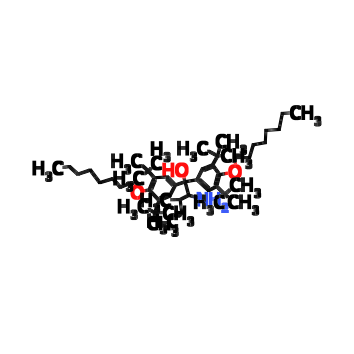 CCCCCCCCOc1c(C(C)(C)C)cc(C(O)(c2cc(C(C)(C)C)c(OCCCCCCCC)c(C(C)(C)C)c2)C(N)C(C)CC)cc1C(C)(C)C